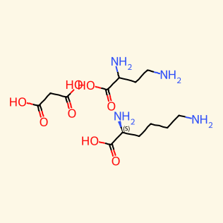 NCCC(N)C(=O)O.NCCCC[C@H](N)C(=O)O.O=C(O)CC(=O)O